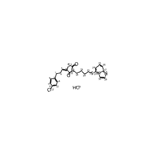 Cl.O=C1S/C(=C/CCc2ccc(Cl)cc2)C(=O)N1CCCCSc1cccc2nccn12